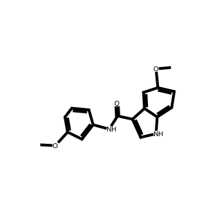 COc1cccc(NC(=O)c2[c][nH]c3ccc(OC)cc23)c1